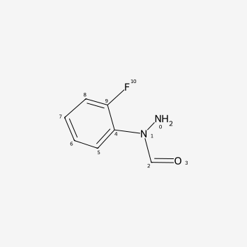 NN(C=O)c1ccccc1F